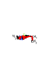 C=CCc1cnc(-c2ccc(-c3ccc(/C=C/CCCC(C)OCCCCC)cc3F)cc2)nc1